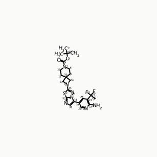 CC(C)(C)OC(=O)N1CCC2(CC1)CN(c1nn3c(-c4cnc(N)c(C(F)(F)F)c4)cnc3s1)C2